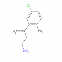 C=C(CCN)c1cc(Cl)ccc1C